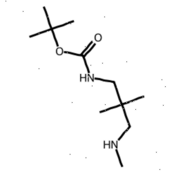 CNCC(C)(C)CNC(=O)OC(C)(C)C